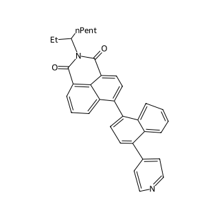 CCCCCC(CC)N1C(=O)c2cccc3c(-c4ccc(-c5ccncc5)c5ccccc45)ccc(c23)C1=O